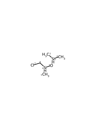 C[SiH](C)O[SiH](C)CCl